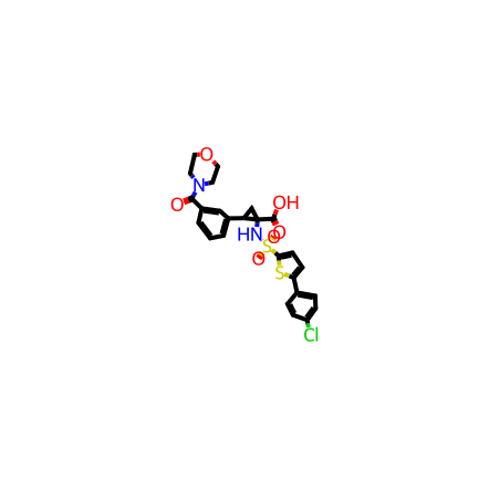 O=C(c1cccc(C2CC2(NS(=O)(=O)c2ccc(-c3ccc(Cl)cc3)s2)C(=O)O)c1)N1CCOCC1